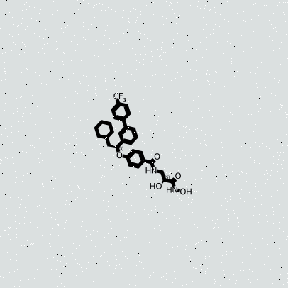 O=C(NC[C@H](O)C(=O)NO)c1ccc(O[C@@H](CC2CCCCC2)c2cccc(-c3ccc(C(F)(F)F)cc3)c2)cc1